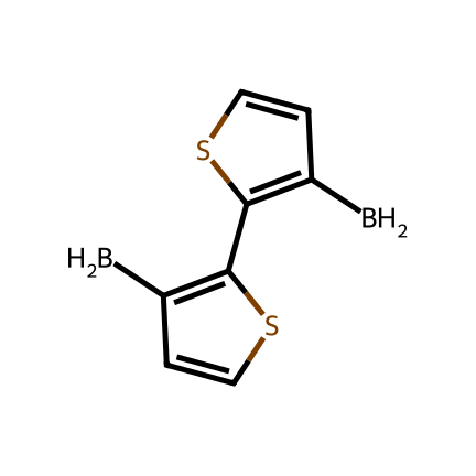 Bc1ccsc1-c1sccc1B